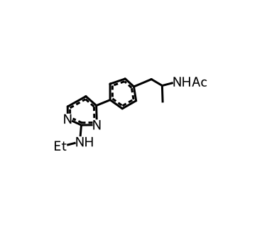 CCNc1nccc(-c2ccc(CC(C)NC(C)=O)cc2)n1